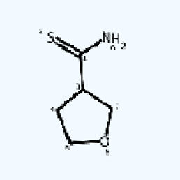 NC(=S)C1CCOC1